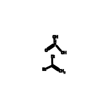 C=C(CC)CC.O=[PH](O)O